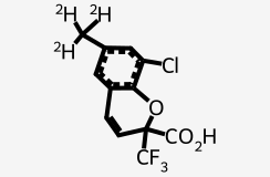 [2H]C([2H])([2H])c1cc(Cl)c2c(c1)C=CC(C(=O)O)(C(F)(F)F)O2